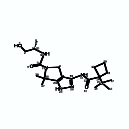 C[C@@H](CO)NC(=O)N1Cc2c(NC(=O)C3(S(C)(C)C)CCC3)n[nH]c2C1(C)C